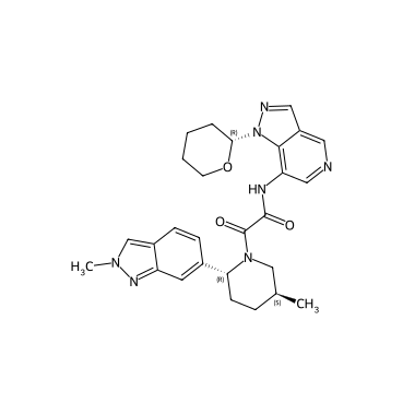 C[C@H]1CC[C@H](c2ccc3cn(C)nc3c2)N(C(=O)C(=O)Nc2cncc3cnn([C@H]4CCCCO4)c23)C1